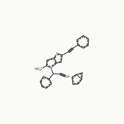 C#CC(c1ccccc1)n1c(C(=O)O)cc2sc(C#Cc3ccccc3)cc21.c1cc2cc-2c1